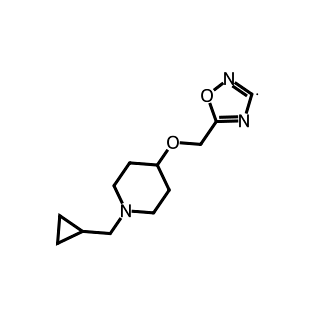 [c]1noc(COC2CCN(CC3CC3)CC2)n1